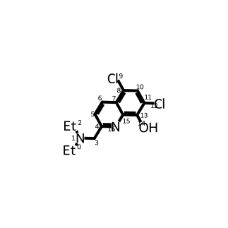 CCN(CC)Cc1ccc2c(Cl)cc(Cl)c(O)c2n1